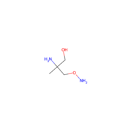 CC(N)(CO)CON